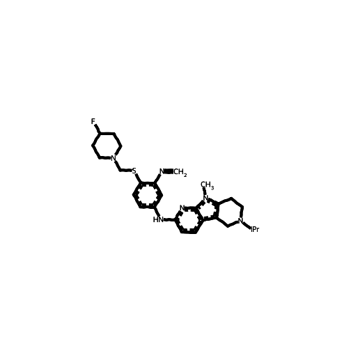 C=Nc1cc(Nc2ccc3c4c(n(C)c3n2)CCN(C(C)C)C4)ccc1SCN1CCC(F)CC1